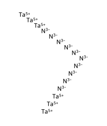 [N-3].[N-3].[N-3].[N-3].[N-3].[N-3].[N-3].[N-3].[N-3].[N-3].[Ta+5].[Ta+5].[Ta+5].[Ta+5].[Ta+5].[Ta+5]